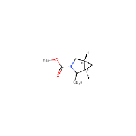 CC(C)(C)OC(=O)N1C[C@@H]2C[C@H]2C1C(=O)O